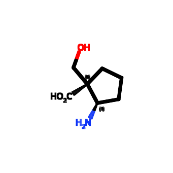 N[C@@H]1CCC[C@]1(CO)C(=O)O